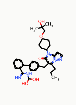 CCCc1c(Cc2ccc(-c3ccccc3C(=N)NC(O)O)cc2)c(=O)n(C2CCC(OCC(C)(C)O)CC2)c2ccnn12